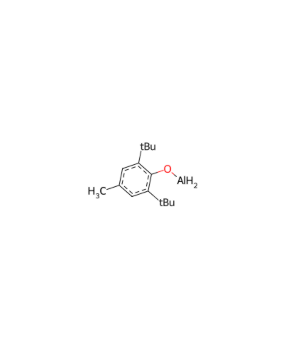 Cc1cc(C(C)(C)C)c([O][AlH2])c(C(C)(C)C)c1